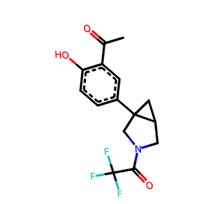 CC(=O)c1cc(C23CC2CN(C(=O)C(F)(F)F)C3)ccc1O